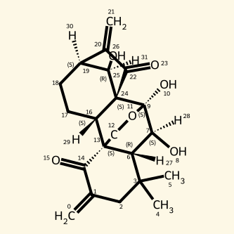 C=C1CC(C)(C)[C@H]2[C@H](O)[C@@]3(O)OC[C@]2(C1=O)[C@@H]1CC[C@H]2C(=C)C(=O)[C@]13[C@@H]2O